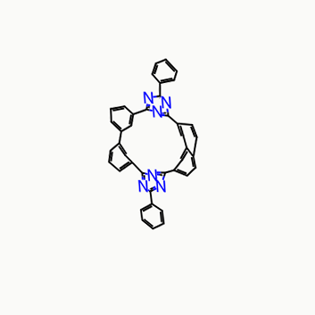 c1ccc(-c2nc3nc(n2)-c2ccc4ccc(cc4c2)-c2nc(-c4ccccc4)nc(n2)-c2cccc(c2)-c2cccc-3c2)cc1